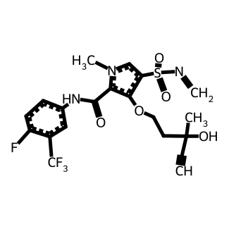 C#CC(C)(O)CCOc1c(S(=O)(=O)N=C)cn(C)c1C(=O)Nc1ccc(F)c(C(F)(F)F)c1